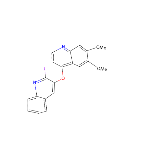 COc1cc2nccc(Oc3cc4ccccc4nc3I)c2cc1OC